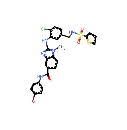 Cn1c(Nc2cc(CNS(=O)(=O)c3cccs3)ccc2Cl)nc2cc(C(=O)Nc3ccc(Br)cc3)ccc21